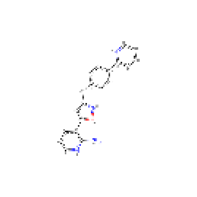 Nc1ncccc1-c1cc(Cc2ccc(-c3ccccn3)cc2)no1